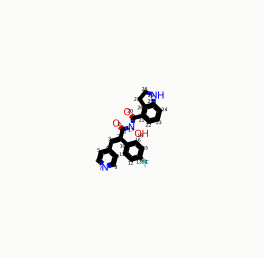 O=C(C(=Cc1ccncc1)c1ccc(F)cc1)N(O)C(=O)c1cccc2c1CCN2